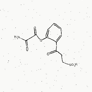 NC(=O)C(=O)Oc1ccccc1C(=O)CCS(=O)(=O)O